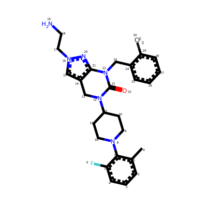 Cc1cccc(F)c1N1CCC(N2Cc3cn(CCN)nc3N(Cc3ccccc3C(F)(F)F)C2=O)CC1